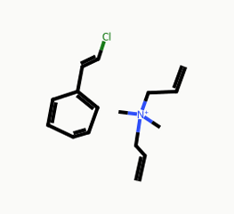 C=CC[N+](C)(C)CC=C.ClC=Cc1ccccc1